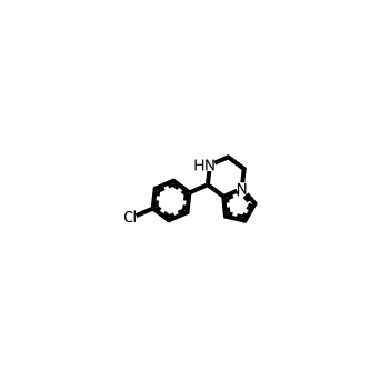 Clc1ccc(C2NCCn3cccc32)cc1